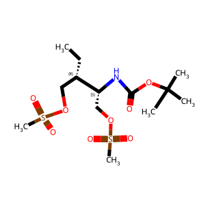 CC[C@@H](COS(C)(=O)=O)[C@@H](COS(C)(=O)=O)NC(=O)OC(C)(C)C